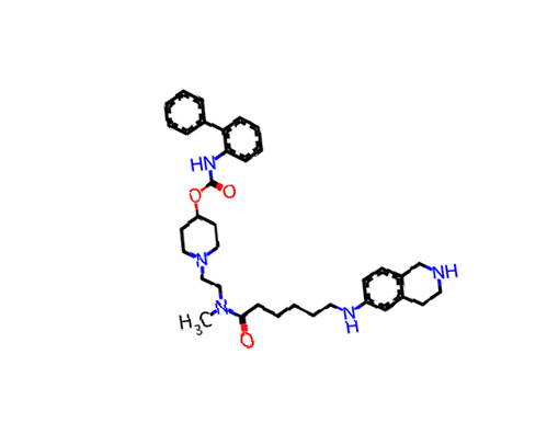 CN(CCN1CCC(OC(=O)Nc2ccccc2-c2ccccc2)CC1)C(=O)CCCCCNc1ccc2c(c1)CCNC2